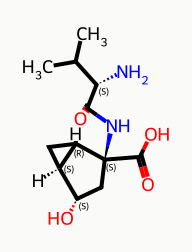 CC(C)[C@H](N)C(=O)N[C@@]1(C(=O)O)C[C@H](O)[C@H]2C[C@H]21